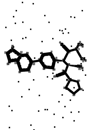 CN(C)C(=O)[C@@H](c1ccc(-c2ccc3ncnn3c2)cc1)[C@H](N)C(=O)N1CCCC1